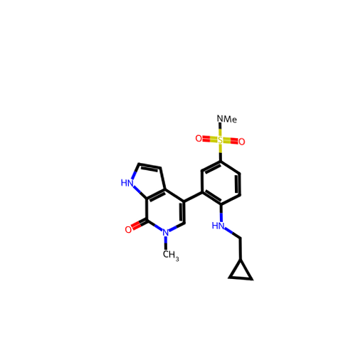 CNS(=O)(=O)c1ccc(NCC2CC2)c(-c2cn(C)c(=O)c3[nH]ccc23)c1